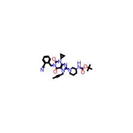 CC#CCn1c(N2CCC[C@@H](NC(=O)OC(C)(C)C)C2)nc2c1c(=O)n(Cc1ccccc1C#N)c(=O)n2C1CC1